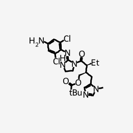 CC[C@H](C(=O)N1CCN/C1=N\c1c(Cl)cc(N)cc1Cl)[C@H](COC(=O)C(C)(C)C)Cc1cncn1C